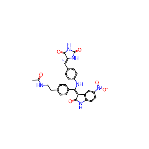 CC(=O)NCCc1ccc(C(Nc2ccc(/C=C3\NC(=O)NC3=O)cc2)=C2C(=O)Nc3ccc([N+](=O)[O-])cc32)cc1